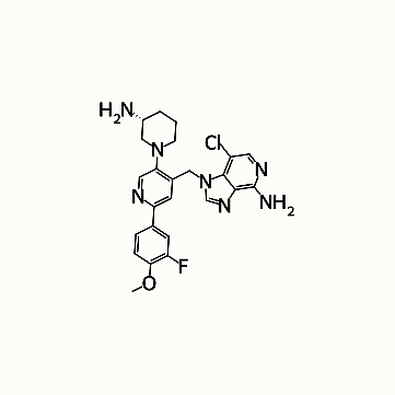 COc1ccc(-c2cc(Cn3cnc4c(N)ncc(Cl)c43)c(N3CCC[C@@H](N)C3)cn2)cc1F